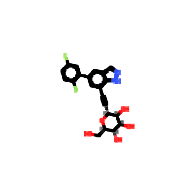 OC[C@H]1O[C@H](C#Cc2cc(-c3cc(F)ccc3F)cc3cn[nH]c23)[C@@H](O)[C@@H](O)[C@@H]1O